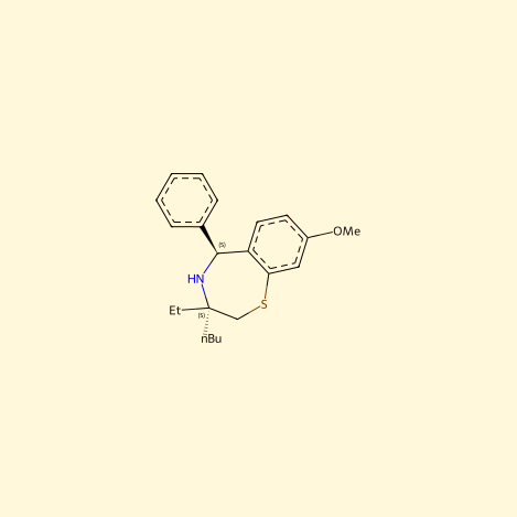 CCCC[C@@]1(CC)CSc2cc(OC)ccc2[C@H](c2ccccc2)N1